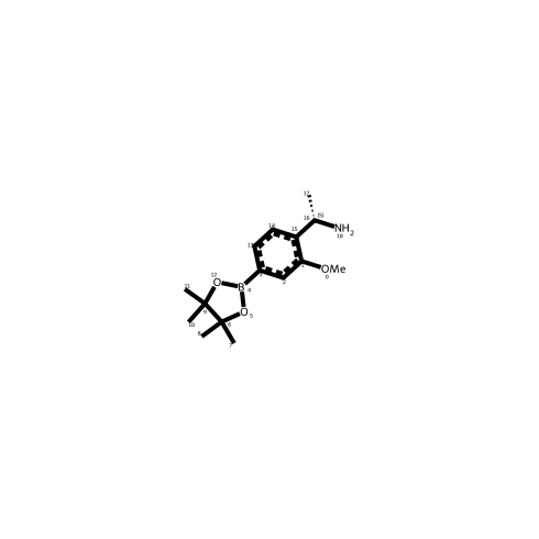 COc1cc(B2OC(C)(C)C(C)(C)O2)ccc1[C@H](C)N